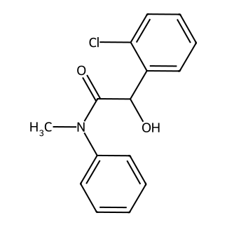 CN(C(=O)C(O)c1ccccc1Cl)c1ccccc1